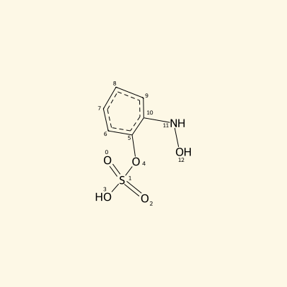 O=S(=O)(O)Oc1ccccc1NO